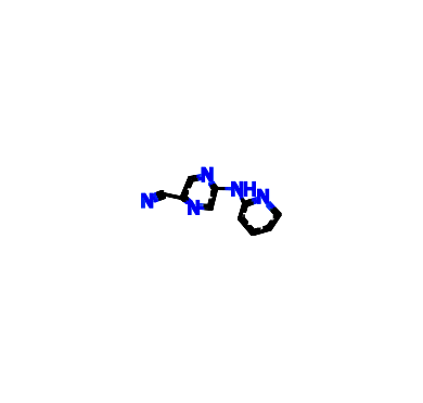 N#Cc1cnc(Nc2ccccn2)cn1